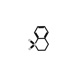 O=S1(=O)CCCc2cc[c]cc21